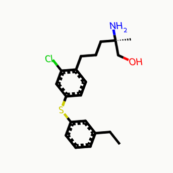 CCc1cccc(Sc2ccc(CCC[C@@](C)(N)CO)c(Cl)c2)c1